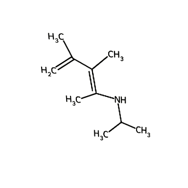 C=C(C)/C(C)=C(\C)NC(C)C